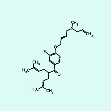 C=CCN(C)CC=CCOc1ccc(C(=O)C(CC=C(C)C)CC=C(C)C)cc1F